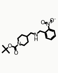 CC(C)(C)OC(=O)N1CCC(CNCc2ccccc2[N+](=O)[O-])CC1